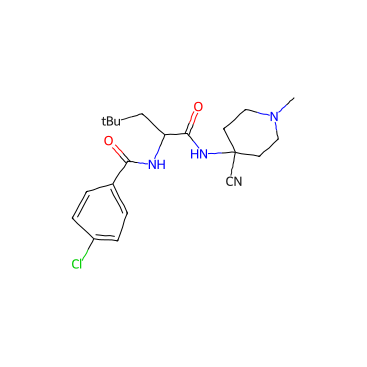 CN1CCC(C#N)(NC(=O)C(CC(C)(C)C)NC(=O)c2ccc(Cl)cc2)CC1